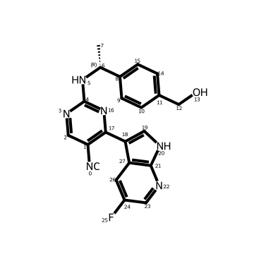 [C-]#[N+]c1cnc(N[C@H](C)c2ccc(CO)cc2)nc1-c1c[nH]c2ncc(F)cc12